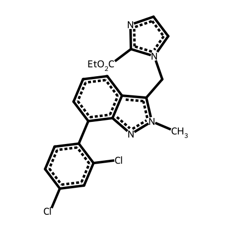 CCOC(=O)c1nccn1Cc1c2cccc(-c3ccc(Cl)cc3Cl)c2nn1C